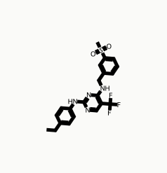 CCc1ccc(Nc2ncc(C(F)(F)F)c(NCc3cccc(S(C)(=O)=O)c3)n2)cc1